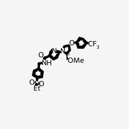 CCS(=O)(=O)c1ccc(CNC(=O)c2ccc(N3CC(Oc4ccc(C(F)(F)F)cc4)C[C@H]3COC)nc2)cc1